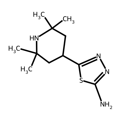 CC1(C)CC(c2nnc(N)s2)CC(C)(C)N1